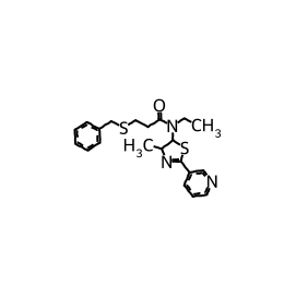 CCN(C(=O)CCSCc1ccccc1)C1SC(c2cccnc2)=NC1C